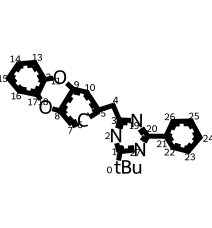 CC(C)(C)c1nc(Cc2ccc3c(c2)Oc2ccccc2O3)nc(-c2ccccc2)n1